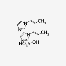 CC=Cn1ccnc1.CC=Cn1ccnc1.O=S(=O)(O)O